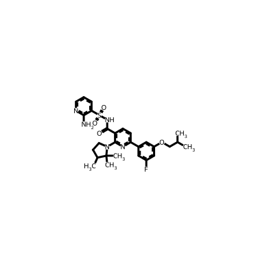 CC(C)COc1cc(F)cc(-c2ccc(C(=O)NS(=O)(=O)c3cccnc3N)c(N3CCC(C)C3(C)C)n2)c1